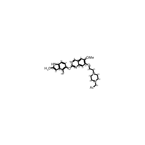 COc1cc2cnc(Oc3ccc4[nH]c(C)cc4c3F)nc2cc1OCCN1CCN(CC(C)=O)CC1